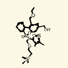 CCOCc1cc(CO)ccc1-c1ccccc1S(=O)(=O)N(COCC[Si](C)(C)C)c1onc(C)c1C